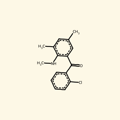 CNc1c(C)cc(C)cc1C(=O)c1ccccc1Cl